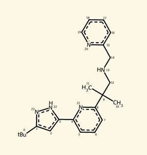 CC(C)(C)c1cc(-c2cccc(C(C)(C)CNCc3ccccn3)n2)[nH]n1